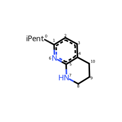 CCCC(C)c1ccc2c(n1)NCCC2